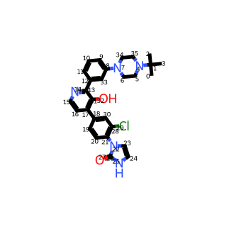 CC(C)(C)N1CCN(c2cccc(-c3nccc(-c4ccc(-n5cc[nH]c5=O)c(Cl)c4)c3O)c2)CC1